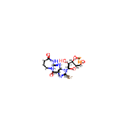 O=C1CCCn2c(nc3c(nc(Br)n3C3OC4COPOC4C3O)c2=O)N1